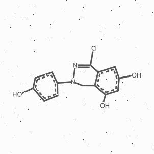 Oc1ccc(N2Cc3c(O)cc(O)cc3C(Cl)=N2)cc1